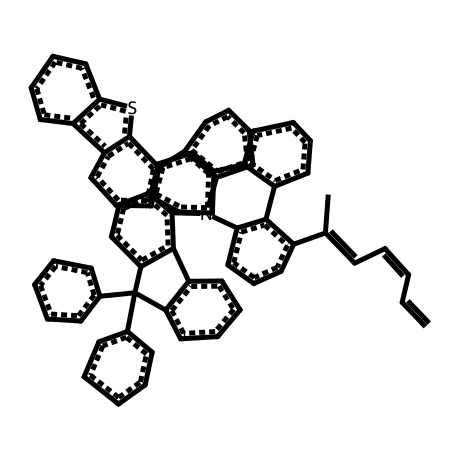 C=C/C=C\C=C(/C)c1cccc(N(c2ccccc2-c2cccc3c2sc2ccccc23)c2cccc3c2-c2ccccc2C3(c2ccccc2)c2ccccc2)c1-c1ccccc1-c1ccccc1